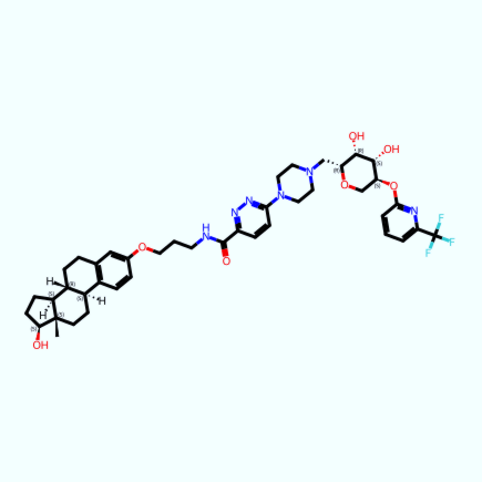 C[C@]12CC[C@@H]3c4ccc(OCCCNC(=O)c5ccc(N6CCN(C[C@H]7OC[C@H](Oc8cccc(C(F)(F)F)n8)[C@@H](O)[C@H]7O)CC6)nn5)cc4CC[C@H]3[C@@H]1CC[C@@H]2O